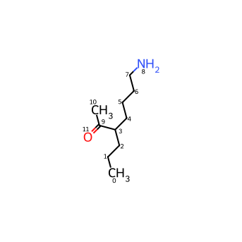 CCCC(CCCCN)C(C)=O